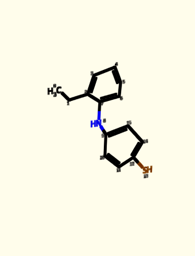 CCc1ccccc1Nc1ccc(S)cc1